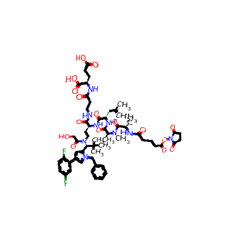 C=C(C)C[C@H](NC(=O)[C@H](C)N(C)C(=O)[C@H](C)NC(=O)CCCC(=O)ON1C(=O)CCC1=O)C(=O)N[C@@H](CCN(C(=O)CO)[C@@H](c1cc(-c2cc(F)ccc2F)cn1Cc1ccccc1)C(C)(C)C)C(=O)NCCC(=O)N[C@H](CCC(=O)O)C(=O)O